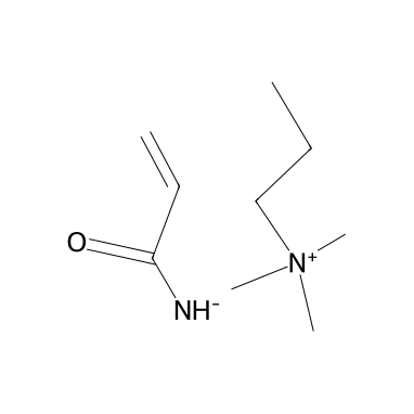 C=CC([NH-])=O.CCC[N+](C)(C)C